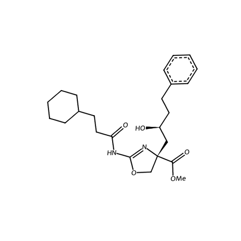 COC(=O)[C@]1(C[C@@H](O)CCc2ccccc2)COC(NC(=O)CCC2CCCCC2)=N1